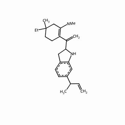 C=CC(C)c1ccc2c(c1)NC(C(=C)C1=C(NC)CC(C)(CC)CC1)C2